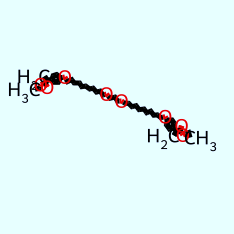 C=C(C(=O)OCC)c1ccc(OCCCCCCCCCCCOCCCOCCCCCCCCCCCOc2ccc(C(=C)C(=O)OCC)cc2)cc1